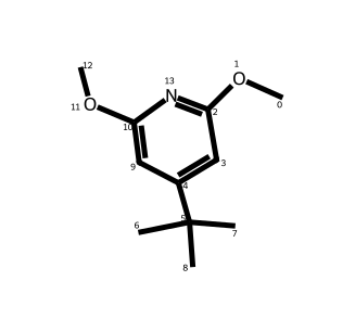 COc1cc(C(C)(C)C)cc(OC)n1